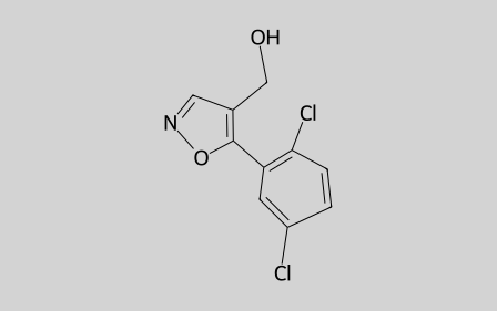 OCc1cnoc1-c1cc(Cl)ccc1Cl